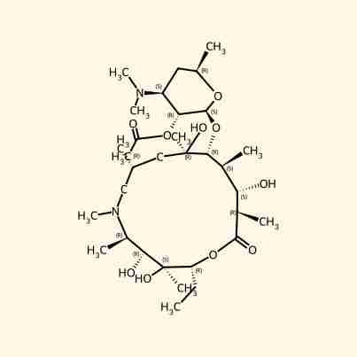 CC[C@H]1OC(=O)[C@H](C)[C@@H](O)[C@H](C)[C@@H](O[C@@H]2O[C@H](C)C[C@H](N(C)C)[C@H]2OC(C)=O)[C@](C)(O)C[C@@H](C)CN(C)[C@H](C)[C@@H](O)[C@]1(C)O